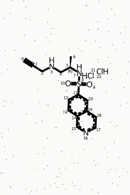 C#CCNC[C@@H](C)NS(=O)(=O)c1ccc2cnccc2c1.Cl.Cl